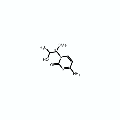 CO[C@H](C(C)O)n1ccc(N)nc1=O